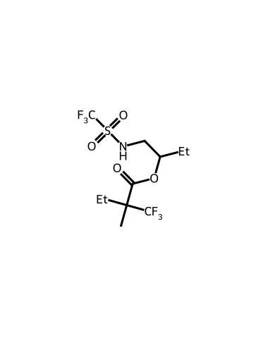 CCC(CNS(=O)(=O)C(F)(F)F)OC(=O)C(C)(CC)C(F)(F)F